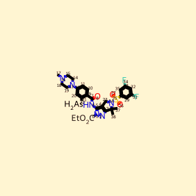 CCOC(=O)n1nc2c(c1NC(=O)c1ccc(N3CCN(C)CC3)cc1[AsH2])CN(S(=O)(=O)c1cc(F)cc(F)c1)C2(C)C